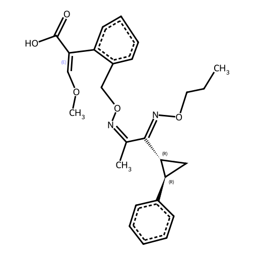 CCCON=C(C(C)=NOCc1ccccc1/C(=C\OC)C(=O)O)[C@@H]1C[C@H]1c1ccccc1